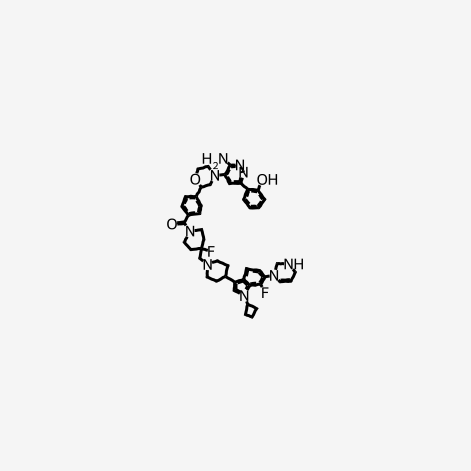 Nc1nnc(-c2ccccc2O)cc1N1CCOC(c2ccc(C(=O)N3CCC(F)(CN4CCC(c5cn(C6CCC6)c6c(F)c(N7C=CCNC7)ccc56)CC4)CC3)cc2)C1